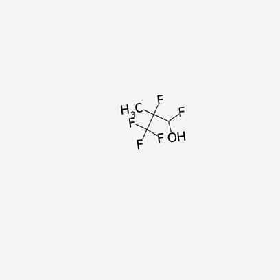 CC(F)(C(O)F)C(F)(F)F